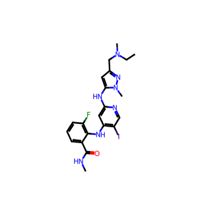 CCN(C)Cc1cc(Nc2cc(Nc3c(F)cccc3C(=O)NC)c(I)cn2)n(C)n1